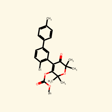 CCc1ccc(-c2ccc(C)cc2)cc1C1=C(OC(=O)OC(C)C)C(C)(C)OC(C)(C)C1=O